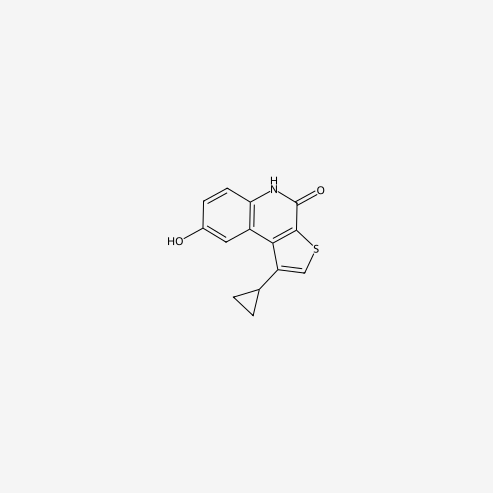 O=c1[nH]c2ccc(O)cc2c2c(C3CC3)csc12